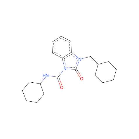 O=C(NC1CCCCC1)n1c(=O)n(CC2CCCCC2)c2ccccc21